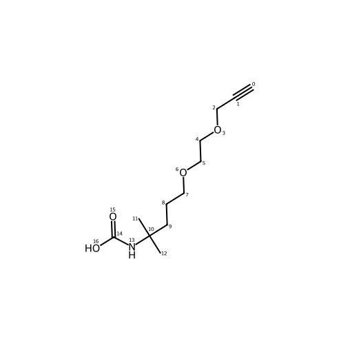 C#CCOCCOCCCC(C)(C)NC(=O)O